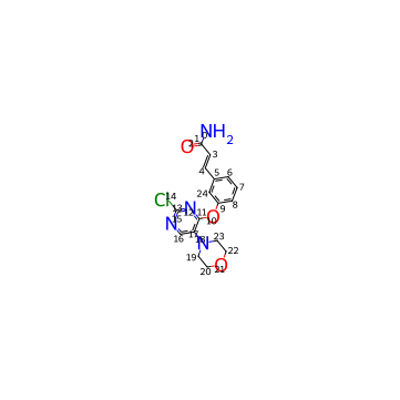 NC(=O)C=Cc1cccc(Oc2nc(Cl)ncc2N2CCOCC2)c1